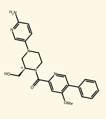 COc1cc(C(=O)N2CCN(c3ccc(N)nc3)C[C@@H]2CO)ncc1-c1ccccc1